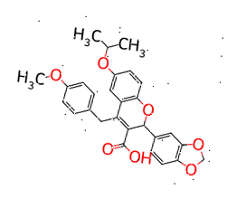 COc1ccc(CC2=C(C(=O)O)C(c3ccc4c(c3)OCO4)Oc3ccc(OC(C)C)cc32)cc1